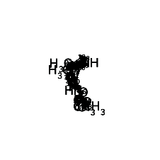 Cc1ccc(C(=O)NCc2cc3nc(-c4nc(N5CCNC6(CC6)C5)cc(C)c4C)ccc3cn2)cc1S(C)(=O)=O